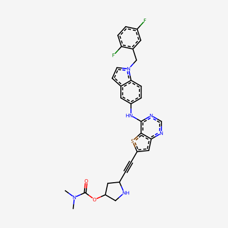 CN(C)C(=O)OC1CNC(C#Cc2cc3ncnc(Nc4ccc5c(ccn5Cc5cc(F)ccc5F)c4)c3s2)C1